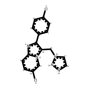 Clc1ccc(-c2nc3ccc(Cl)cn3c2Cn2ccnn2)cc1